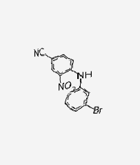 N#Cc1ccc(Nc2cccc(Br)c2)c([N+](=O)[O-])c1